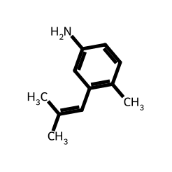 CC(C)=Cc1cc(N)ccc1C